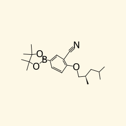 CC(C)C[C@@H](C)COc1ccc(B2OC(C)(C)C(C)(C)O2)cc1C#N